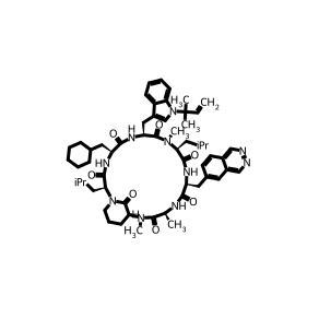 C=CC(C)(C)n1cc(C[C@@H]2NC(=O)[C@H](CC3CCCCC3)NC(=O)[C@H](CC(C)C)N3CCC[C@@H](C3=O)N(C)C(=O)[C@H](C)NC(=O)[C@H](Cc3ccc4cnncc4c3)NC(=O)[C@H](CC(C)C)N(C)C2=O)c2ccccc21